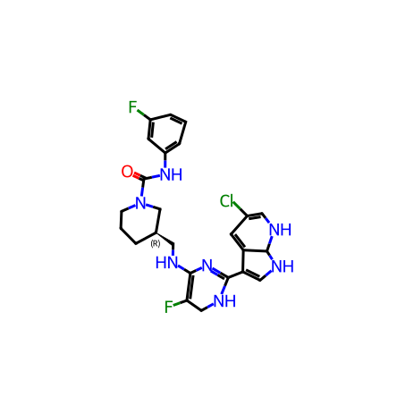 O=C(Nc1cccc(F)c1)N1CCC[C@H](CNC2=C(F)CNC(C3=CNC4NC=C(Cl)C=C34)=N2)C1